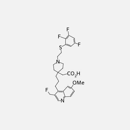 COc1ccc2ncc(CF)c(CCCC3(CC(=O)O)CCN(CCSc4cc(F)cc(F)c4F)CC3)c2c1